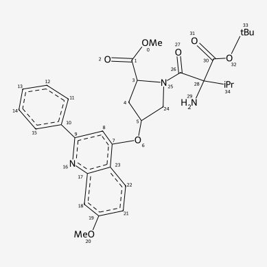 COC(=O)C1CC(Oc2cc(-c3ccccc3)nc3cc(OC)ccc23)CN1C(=O)C(N)(C(=O)OC(C)(C)C)C(C)C